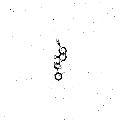 C[C@@H]1CCCC[C@H]1c1cnc(N2CCN3CCN(C#N)CC3C2=O)s1